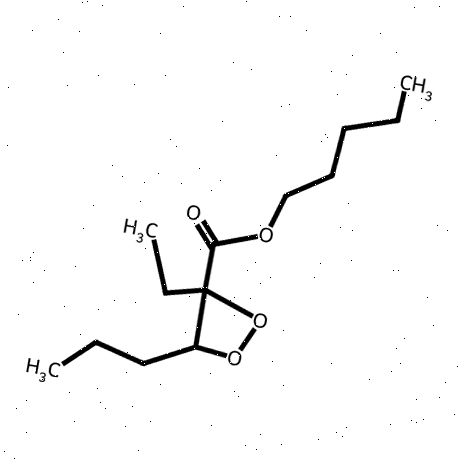 CCCCCOC(=O)C1(CC)OOC1CCC